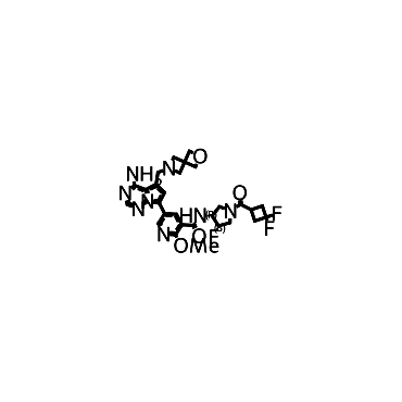 COc1ncc(-c2cc(CN3CC4(COC4)C3)c3c(N)ncnn23)cc1C(=O)N[C@@H]1CN(C(=O)C2CC(F)(F)C2)C[C@@H]1F